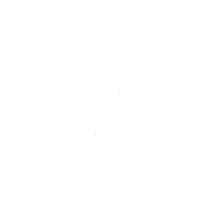 Cn1cncc1C1(O)c2ccc(C#N)c(c2)COc2cccc(c2)-c2cc(C#N)nc3ccc1cc23